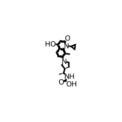 Cc1c(N2CC[C@@H]([C@H](C)NC(=O)O)C2)ccc2c(O)cc(=O)n(C3CC3)c12